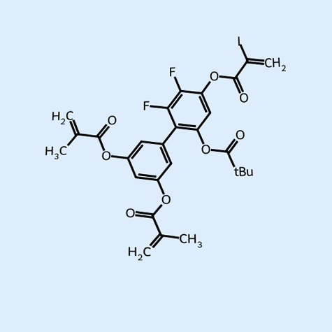 C=C(C)C(=O)Oc1cc(OC(=O)C(=C)C)cc(-c2c(OC(=O)C(C)(C)C)cc(OC(=O)C(=C)I)c(F)c2F)c1